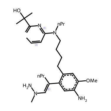 C=C(/N=C(\C=C/C)N(CCC)CCCCc1cc(OC)c(N)cc1/C(=C/N(C)N)CCC)C(C)(C)O